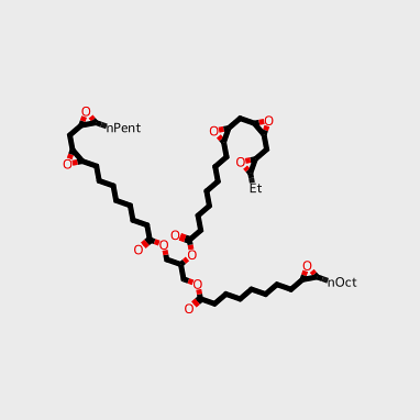 CCCCCCCCC1OC1CCCCCCCC(=O)OCC(COC(=O)CCCCCCCC1OC1CC1OC1CCCCC)OC(=O)CCCCCCCC1OC1CC1OC1CC1OC1CC